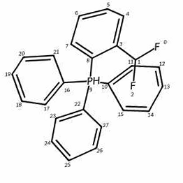 FC(F)c1ccccc1[PH](c1ccccc1)(c1ccccc1)c1ccccc1